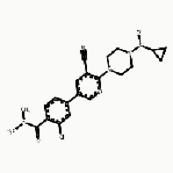 CN(C)C(=O)c1ccc(-c2cnc(N3CCN([S@@+]([O-])C4CC4)CC3)c(C#N)c2)cc1Cl